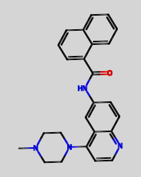 CN1CCN(c2ccnc3ccc(NC(=O)c4cccc5ccccc45)cc23)CC1